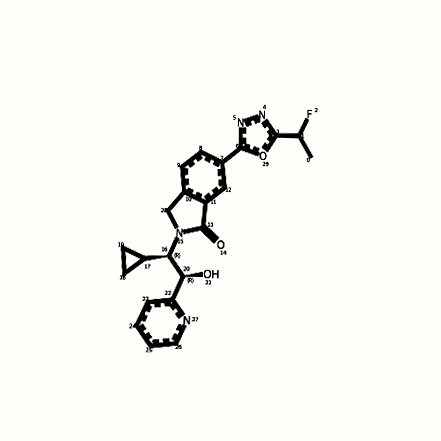 CC(F)c1nnc(-c2ccc3c(c2)C(=O)N([C@H](C2CC2)[C@@H](O)c2ccccn2)C3)o1